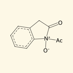 CC(=O)[N+]1([O-])C(=O)Cc2ccccc21